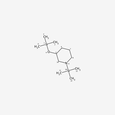 C[Si](C)(C)OC1CCCN([Si](C)(C)C)C1